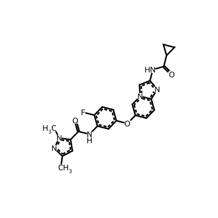 Cc1cc(C(=O)Nc2cc(Oc3ccc4nc(NC(=O)C5CC5)cn4c3)ccc2F)n(C)n1